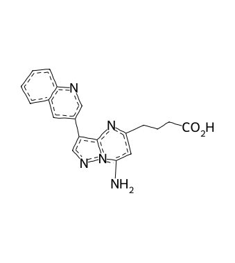 Nc1cc(CCCC(=O)O)nc2c(-c3cnc4ccccc4c3)cnn12